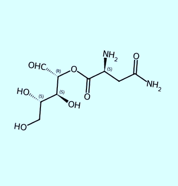 NC(=O)C[C@H](N)C(=O)O[C@@H](C=O)[C@@H](O)[C@@H](O)CO